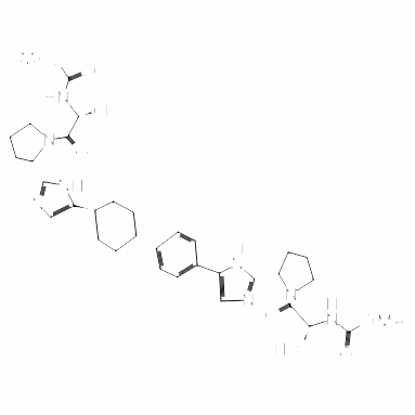 COC(=O)N[C@@H](C)C(=O)N1CCC[C@H]1c1ncc(-c2ccc([C@H]3CC[C@H](c4cnc([C@@H]5CCCN5C(=O)[C@H](C)NC(=O)OC)[nH]4)CC3)cc2)[nH]1